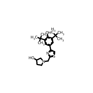 CC(C)(C)c1cc(-c2csc(CN3CCC(O)C3)n2)cc(C(C)(C)C)c1O